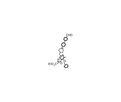 CCOC(=O)CNC(=O)c1nc(CC2CCN(c3ccc(-c4ccc(C=O)cc4)cc3)CC2)nc(C)c1OCc1ccccc1